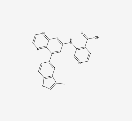 Cc1csc2ccc(-c3cc(Nc4cnccc4C(=O)O)cc4nccnc34)cc12